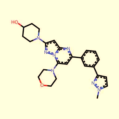 Cn1ccc(-c2cccc(-c3cc(N4CCOCC4)n4nc(N5CCC(O)CC5)cc4n3)c2)n1